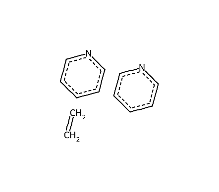 C=C.c1ccncc1.c1ccncc1